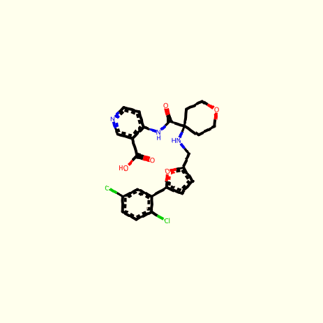 O=C(O)c1cnccc1NC(=O)C1(NCc2ccc(-c3cc(Cl)ccc3Cl)o2)CCOCC1